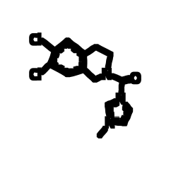 C[n+]1ccn(C(=O)N2CCc3cc(Cl)c(Cl)cc3C2)c1